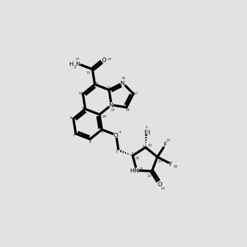 CC[C@H]1[C@@H](COc2cccc3cc(C(N)=O)c4nccn4c23)NC(=O)C1(F)F